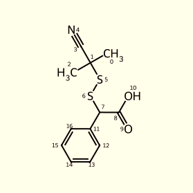 CC(C)(C#N)SSC(C(=O)O)c1ccccc1